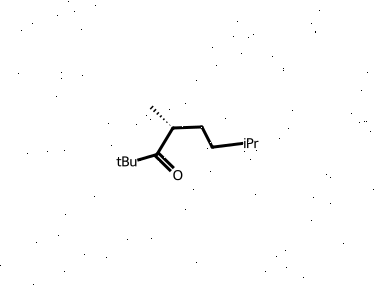 CC(C)CC[C@@H](C)C(=O)C(C)(C)C